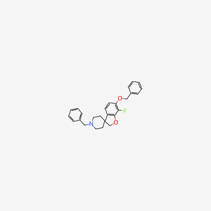 Fc1c(OCc2ccccc2)ccc2c1OCC21CCN(Cc2ccccc2)CC1